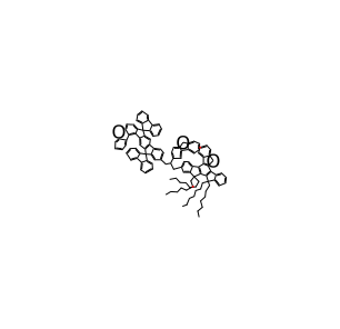 CCCCCCCC1(CCCCCCC)c2ccccc2-c2c1c1c(c3c2oc2ccccc23)-c2ccc(CC(Cc3ccc4c(c3)C3(c5ccccc5-c5ccccc53)c3cc5c(cc3-4)C3(c4ccccc4-c4ccccc43)c3ccc4oc6ccccc6c4c3-5)c3ccc4oc5ccccc5c4c3)cc2C1(CCCCCCC)CCCCCCC